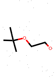 CC(C)(C)OCC[O]